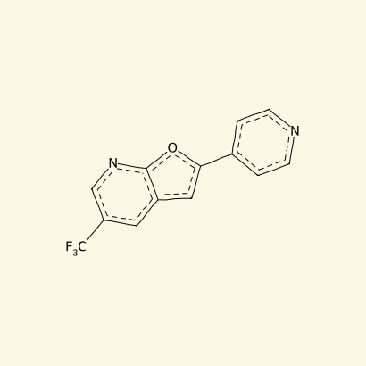 FC(F)(F)c1cnc2oc(-c3ccncc3)cc2c1